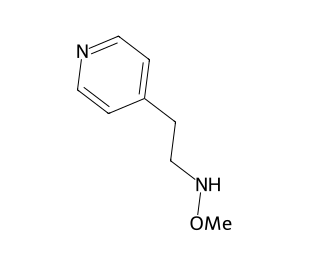 CONCCc1ccncc1